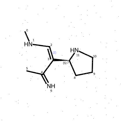 CN/C=C(\C(C)=N)[C@@H]1CCCN1